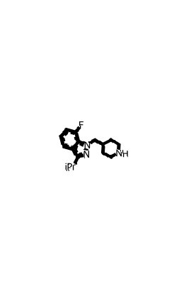 CC(C)c1nn(CC2CCNCC2)c2c(F)cccc12